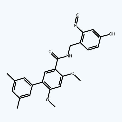 COc1cc(OC)c(-c2cc(C)cc(C)c2)cc1C(=O)NCc1ccc(O)cc1N=O